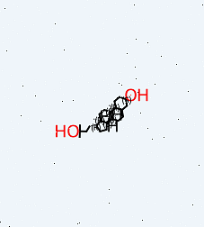 CC(C)(O)CC[C@H]1CC[C@H]2[C@@H]3CC=C4C[C@@H](O)CC[C@]4(C)[C@H]3CC[C@]12C